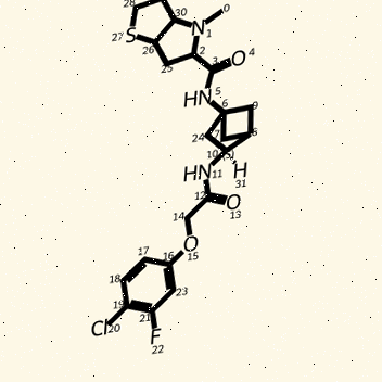 CN1C(C(=O)NC23CC(C2)[C@@H](NC(=O)COc2ccc(Cl)c(F)c2)C3)CC2SCCC21